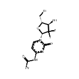 CCCC(=O)Nc1ccn([C@@H]2O[C@H](CO)[C@@H](O)C2(F)F)c(=O)n1